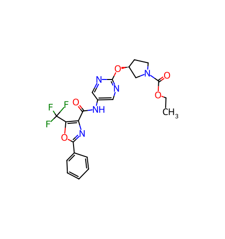 CCOC(=O)N1CC[C@H](Oc2ncc(NC(=O)c3nc(-c4ccccc4)oc3C(F)(F)F)cn2)C1